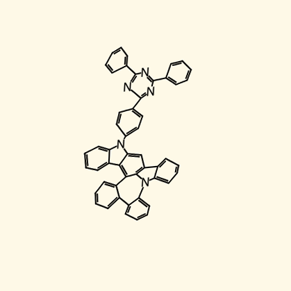 c1ccc(-c2nc(-c3ccccc3)nc(-c3ccc(-n4c5ccccc5c5c6c7c(cc54)c4ccccc4n7-c4ccccc4-c4ccccc4-6)cc3)n2)cc1